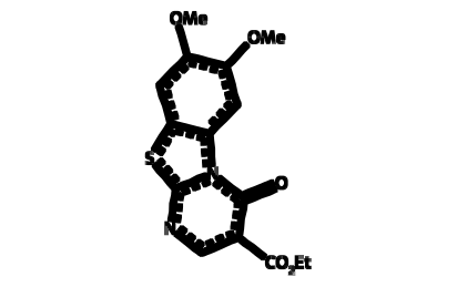 CCOC(=O)c1cnc2sc3cc(OC)c(OC)cc3n2c1=O